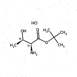 C[C@@H](O)[C@H](N)C(=O)OC(C)(C)C.Cl